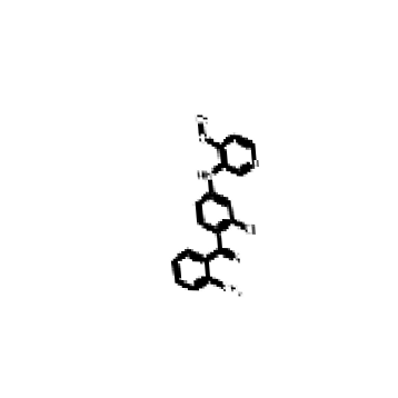 CCOc1ccncc1Nc1ccc(C(=S)c2ccccc2C)c(Cl)c1